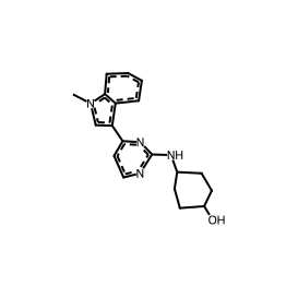 Cn1cc(-c2ccnc(NC3CCC(O)CC3)n2)c2ccccc21